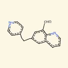 O=Cc1cc(Cc2ccncc2)cc2cccnc12